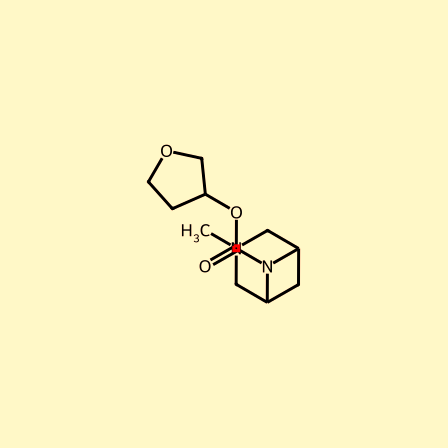 CN1CC2CC(C1)N2C(=O)OC1CCOC1